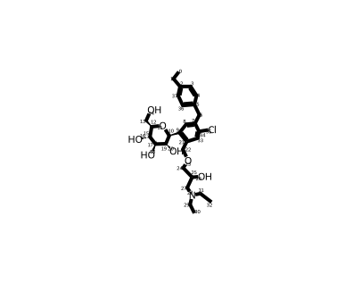 CCc1ccc(Cc2cc([C@@H]3O[C@H](CO)[C@@H](O)[C@H](O)[C@H]3O)c(COCC(O)CN(CC)CC)cc2Cl)cc1